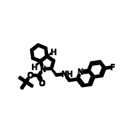 CC(C)(C)OC(=O)N1[C@H](CNCc2ccc3cc(F)ccc3n2)C[C@@H]2CCCC[C@@H]21